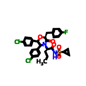 CCC[C@H](C(=O)NS(=O)(=O)C1CC1)N1C(=O)[C@H](Cc2ccc(F)cc2)OC(c2ccc(Cl)cc2)C1c1ccc(Cl)cc1